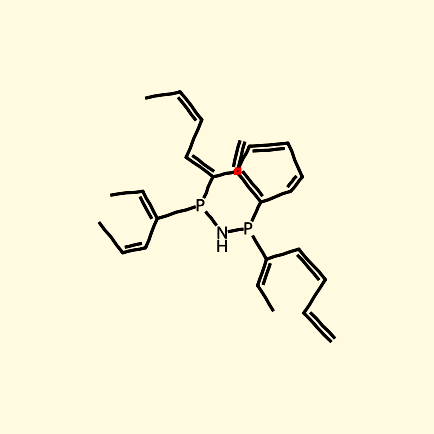 C=C/C=C\C(=C/C)P(NP(/C(C=C)=C/C=C\C)C(/C=C\C)=C/C)c1ccccc1